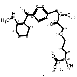 CNC1=C(C(=O)c2ccc(CN(C)C(=O)COCCCN(C)C(C)=O)cc2)CCCC1